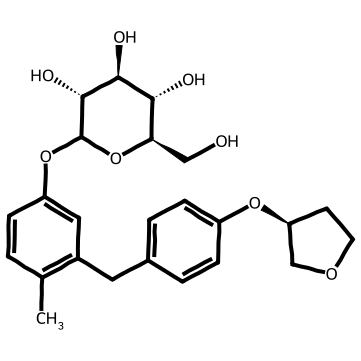 Cc1ccc(OC2O[C@H](CO)[C@@H](O)[C@H](O)[C@H]2O)cc1Cc1ccc(O[C@H]2CCOC2)cc1